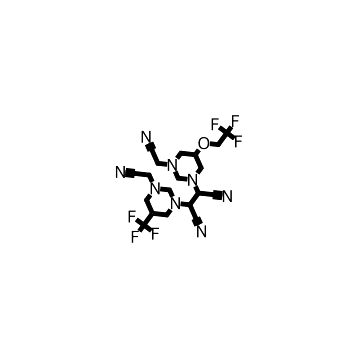 N#CCN1CC(OCC(F)(F)F)CN(C(C#N)C(C#N)N2CC(C(F)(F)F)CN(CC#N)C2)C1